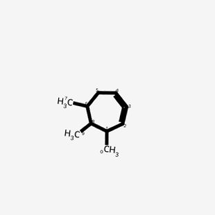 CC1C=C=CCC(C)C1C